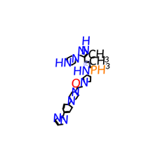 C/C(=C\c1c(N2CCNCC2)n[nH]c1C)C(=P)NC1CCN(CC(=O)N2CCN(C3C=CC(c4ncccn4)=CC3)CC2)C1